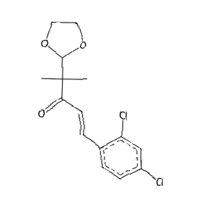 CC(C)(C(=O)C=Cc1ccc(Cl)cc1Cl)C1OCCO1